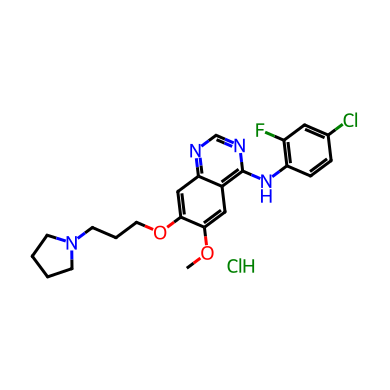 COc1cc2c(Nc3ccc(Cl)cc3F)ncnc2cc1OCCCN1CCCC1.Cl